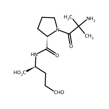 CC(C)(N)C(=O)N1CCC[C@H]1C(=O)N[C@@H](CCC=O)C(=O)O